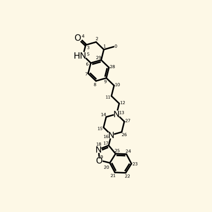 CC1CC(=O)Nc2ccc(CCCN3CCN(c4noc5ccccc45)CC3)cc21